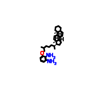 CC(CCCC(C)[C@H]1CC[C@H]2[C@@H]3CCC4CCCC[C@]4(C)[C@H]3CC[C@]12C)COc1cccc(N)c1N